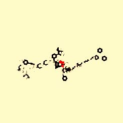 COc1ccc(C#CCNC2(C)CCN(C3CCN(c4nc([C@@](COCNC(=O)CNC(=O)[C@H](Cc5ccccc5)NC(=O)CNC(=O)CNC(=O)CCOCCOCCN5C(=O)C(Sc6ccccc6)=C(Sc6ccccc6)C5=O)(OC5CC5)c5ccccc5)c5cc(-c6cn(C)c(=O)c7[nH]ccc67)ccc5n4)CC3)CC2)cc1N1CCC(=O)N(CNC(CC=O)C(=O)O)C1=O